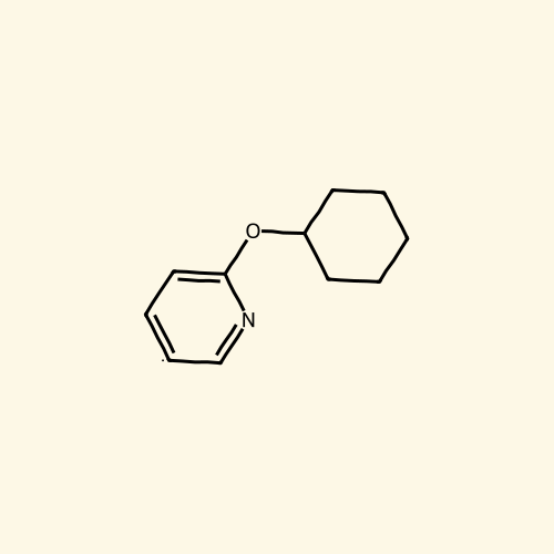 [c]1ccc(OC2CCCCC2)nc1